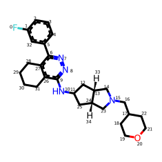 Fc1cccc(-c2nnc(NC3C[C@@H]4CN(CC5CCOCC5)C[C@@H]4C3)c3c2CCCC3)c1